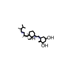 C=C1/C(=C\C=C2/CCC[C@]3(C)[C@@H]([C@H](C)/C=C/[C@@H](C)C(C)C)CC[C@@H]23)C[C@@H](O)C[C@@H]1O